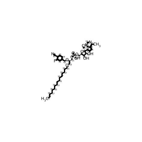 C#C[C@@]1(c2ccc3c(C)ncnn23)O[C@H](COP(=O)(O)OC[C@@H](COCCCCCCCCCCCCCCCC)OCc2ccc(C#N)c(F)c2)[C@@H](O)[C@H]1O